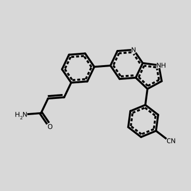 N#Cc1cccc(-c2c[nH]c3ncc(-c4cccc(C=CC(N)=O)c4)cc23)c1